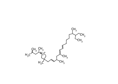 C=C(C)CC(C)CCC(C)(CC)C/C=C/C(C)C/C(C)=C/C=C/CCCCC(C)C(CC)CC